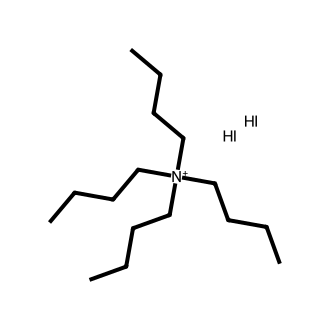 CCCC[N+](CCCC)(CCCC)CCCC.I.I